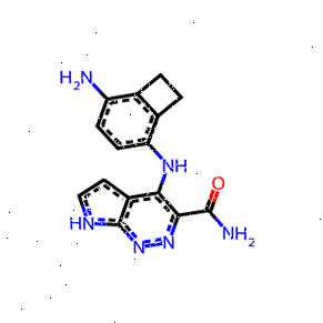 NC(=O)c1nnc2[nH]ccc2c1Nc1ccc(N)c2c1CC2